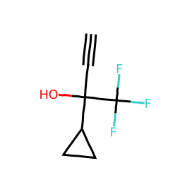 C#CC(O)(C1CC1)C(F)(F)F